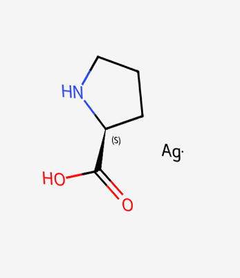 O=C(O)[C@@H]1CCCN1.[Ag]